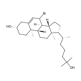 C[C@H](CCCC(C)(C)O)[C@H]1CC[C@H]2[C@@H]3C(Br)C=C4C[C@@H](O)CC[C@]4(C)[C@H]3CC[C@]12C